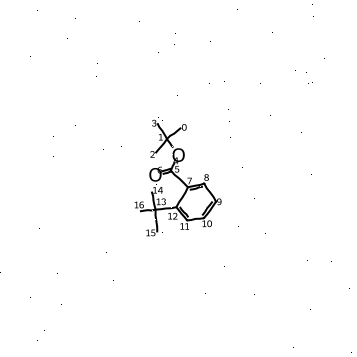 CC(C)(C)OC(=O)c1ccccc1C(C)(C)C